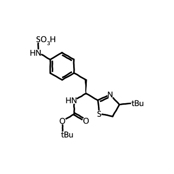 CC(C)(C)OC(=O)N[C@@H](Cc1ccc(NS(=O)(=O)O)cc1)C1=NC(C(C)(C)C)CS1